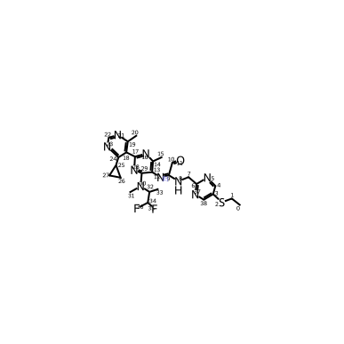 CCSc1cnc(CN/C(C=O)=N/c2c(C)nc(-c3c(C)ncnc3C3CC3)nc2N(C)C(C)C(F)F)nc1